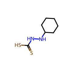 S=C(S)NNC1CCCCC1